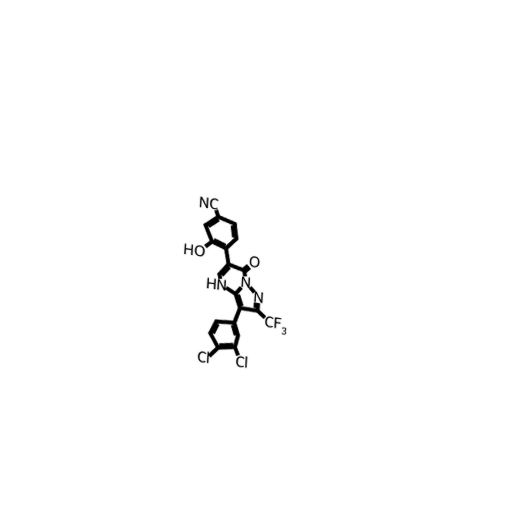 N#Cc1ccc(-c2c[nH]c3c(-c4ccc(Cl)c(Cl)c4)c(C(F)(F)F)nn3c2=O)c(O)c1